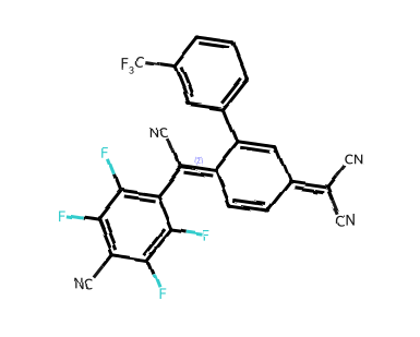 N#CC(C#N)=c1cc/c(=C(/C#N)c2c(F)c(F)c(C#N)c(F)c2F)c(-c2cccc(C(F)(F)F)c2)c1